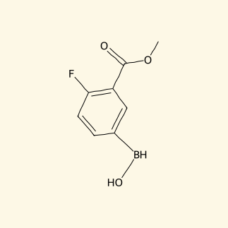 COC(=O)c1cc(BO)ccc1F